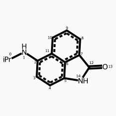 CC(C)Nc1ccc2c3c(cccc13)C(=O)N2